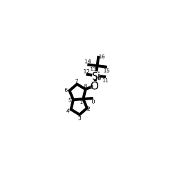 CC12CCCC1CCC2O[Si](C)(C)C(C)(C)C